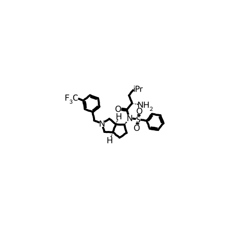 CC(C)C[C@H](N)C(=O)N([C@@H]1CC[C@H]2CN(Cc3cccc(C(F)(F)F)c3)C[C@H]21)S(=O)(=O)c1ccccc1